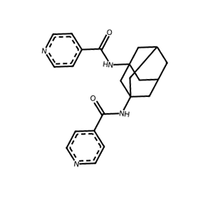 O=C(NC12CC3CC(C1)CC(NC(=O)c1ccncc1)(C3)C2)c1ccncc1